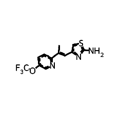 C/C(=C\c1csc(N)n1)c1ccc(OC(F)(F)F)cn1